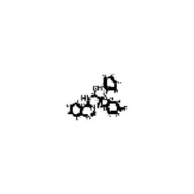 CC(Nc1ncnc2ccccc12)c1nc2ccc(F)cc2n1-c1ccccc1